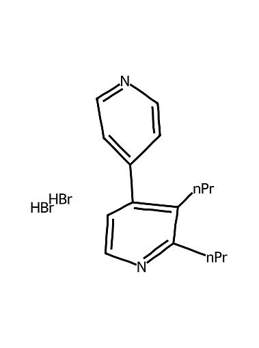 Br.Br.CCCc1nccc(-c2ccncc2)c1CCC